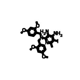 COc1ccc(CN(Cc2ccc(OC)cc2OC)c2nc(C)c(I)c(N)c2N)c(OC)c1